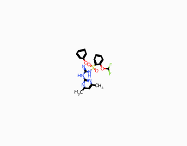 Cc1cc(C)nc(NC(=NOc2ccccc2)NS(=O)(=O)c2ccccc2OC(F)F)n1